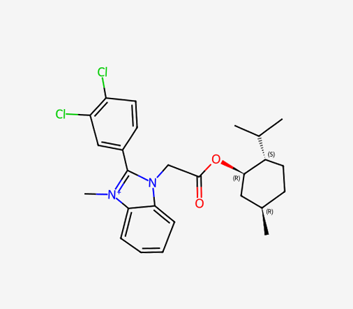 CC(C)[C@@H]1CC[C@@H](C)C[C@H]1OC(=O)Cn1c(-c2ccc(Cl)c(Cl)c2)[n+](C)c2ccccc21